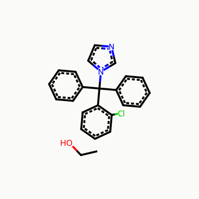 CCO.Clc1ccccc1C(c1ccccc1)(c1ccccc1)n1ccnc1